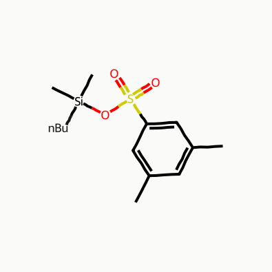 CCCC[Si](C)(C)OS(=O)(=O)c1cc(C)cc(C)c1